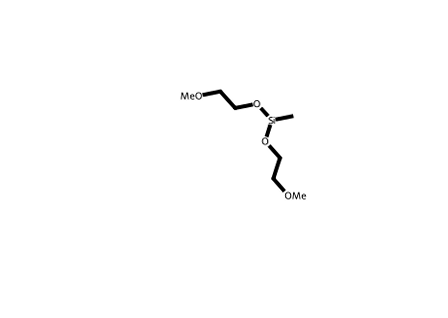 COCCO[Si](C)OCCOC